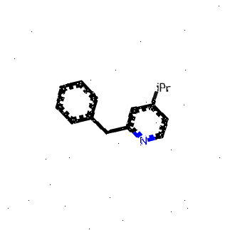 CC(C)c1ccnc(Cc2ccccc2)c1